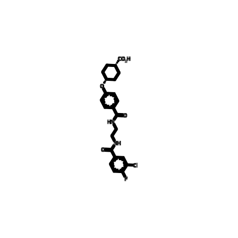 O=C(NCCNC(=O)c1ccc(F)c(Cl)c1)c1ccc(O[C@H]2CC[C@@H](C(=O)O)CC2)cc1